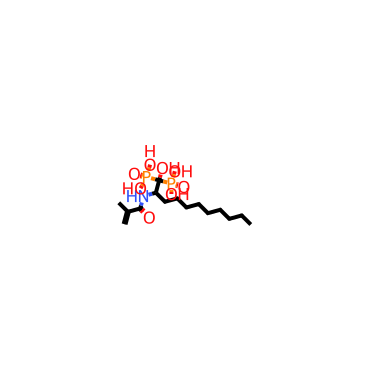 C=C(C)C(=O)NC(CCCCCCCCC)C(O)(P(=O)(O)O)P(=O)(O)O